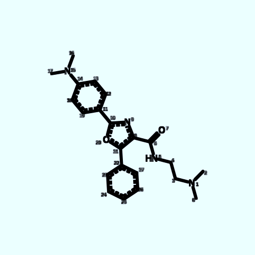 CN(C)CCNC(=O)c1nc(-c2ccc(N(C)C)cc2)oc1-c1ccccc1